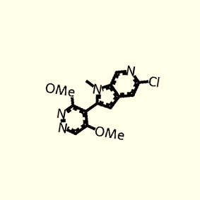 COc1cnnc(OC)c1-c1cc2cc(Cl)ncc2n1C